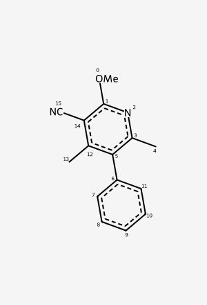 COc1nc(C)c(-c2ccccc2)c(C)c1C#N